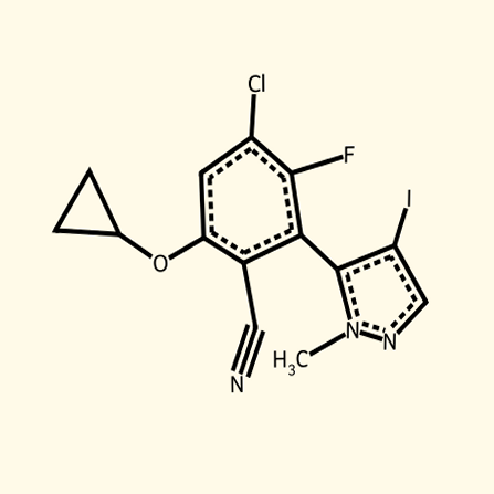 Cn1ncc(I)c1-c1c(F)c(Cl)cc(OC2CC2)c1C#N